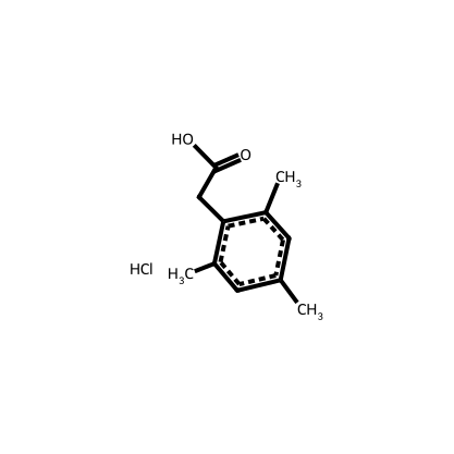 Cc1cc(C)c(CC(=O)O)c(C)c1.Cl